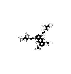 C[C@@H](O)[C@H](N)C(=O)NCCNc1ccc(NCCNC(=O)[C@@H](N)[C@@H](C)O)c2c1C(=O)c1c(OC(=O)C(F)(F)F)ccc(OC(=O)C(F)(F)F)c1C2=O